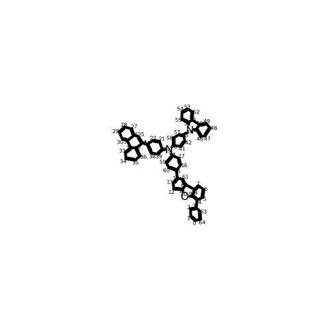 c1ccc(-c2cccc3c2oc2ccc(-c4ccc(N(c5ccc(-c6cc7ccccc7c7ccccc67)cc5)c5ccc(-n6c7ccccc7c7ccccc76)cc5)cc4)cc23)cc1